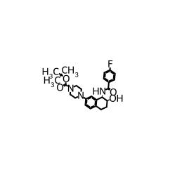 CC(C)(C)OC(=O)N1CCN(c2ccc3c(c2)[C@H](NC(=O)c2ccc(F)cc2)[C@@H](O)CC3)CC1